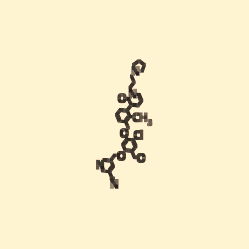 Cc1c(COc2cc(OCc3cncc(C#N)c3)c(C=O)cc2Cl)cccc1-c1cccn(CCCN2CCCC2)c1=O